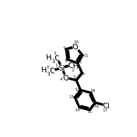 C[Si](C)(C)OC(Cc1ccoc1)c1cccc(Cl)c1